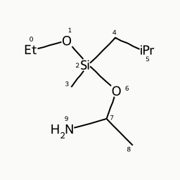 CCO[Si](C)(CC(C)C)OC(C)N